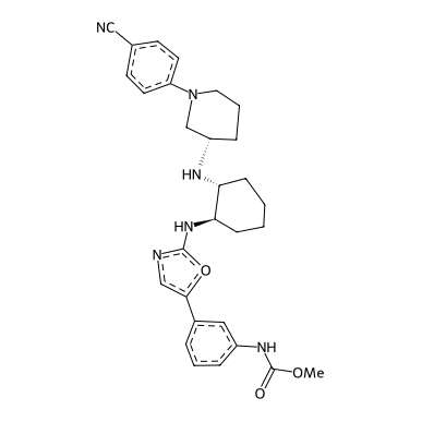 COC(=O)Nc1cccc(-c2cnc(N[C@@H]3CCCC[C@H]3N[C@H]3CCCN(c4ccc(C#N)cc4)C3)o2)c1